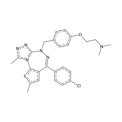 Cc1cc2c(s1)-n1c(C)nnc1N(Cc1ccc(OCCN(C)C)cc1)N=C2c1ccc(Cl)cc1